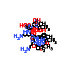 CC(C)[C@H](N)C(=O)N[C@@H](C)C(=O)N[C@@H](C)C(=O)N[C@@H](CCCCN)C(=O)N[C@@H](Cc1c[nH]c2ccccc12)C(=O)N[C@@H](CCCCN)C(=O)N[C@@H](CC(=O)O)C(=O)N[C@@H](CC(=O)O)C(=O)N[C@H](C(=O)O)C(C)C